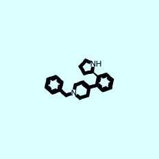 C1=C(c2ccccc2[C@H]2CCCN2)CCN(Cc2ccccc2)C1